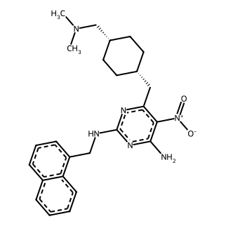 CN(C)C[C@H]1CC[C@@H](Cc2nc(NCc3cccc4ccccc34)nc(N)c2[N+](=O)[O-])CC1